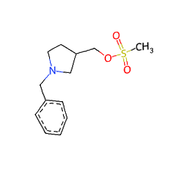 CS(=O)(=O)OCC1CCN(Cc2ccccc2)C1